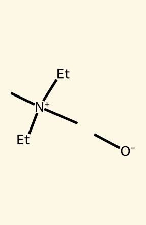 CC[N+](C)(C)CC.C[O-]